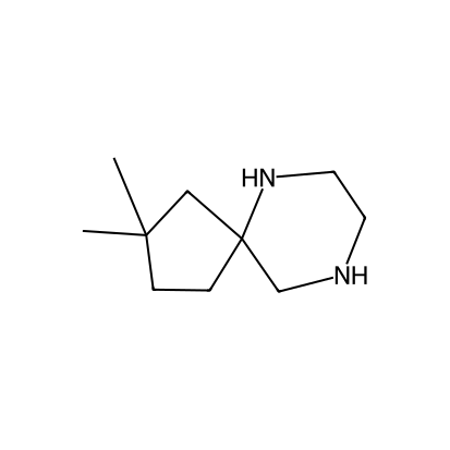 CC1(C)CCC2(CNCCN2)C1